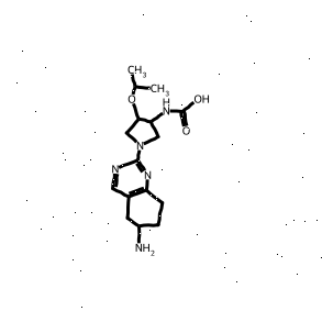 CC(C)OC1CN(c2ncc3c(n2)CCC(N)C3)CC1NC(=O)O